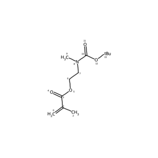 C=C(C)C(=O)OCCN(C)C(=O)OC(C)(C)C